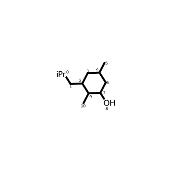 CC(C)CC1CC(C)CC(O)C1C